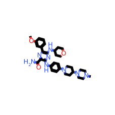 COc1cccc(-c2nc(C(N)=O)c(Nc3ccc(N4CCC(N5CCN(C)CC5)CC4)cc3)nc2NC2CCOCC2)c1